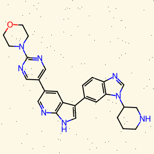 c1nc(N2CCOCC2)ncc1-c1cnc2[nH]cc(-c3ccc4ncn(C5CCCNC5)c4c3)c2c1